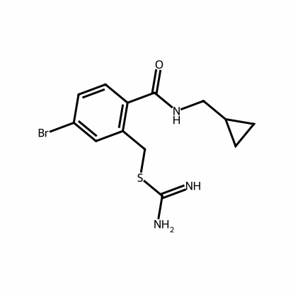 N=C(N)SCc1cc(Br)ccc1C(=O)NCC1CC1